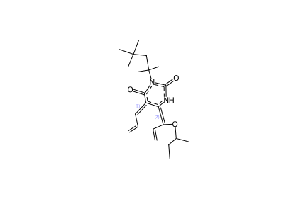 C=C/C=c1/c(=O)n(C(C)(C)CC(C)(C)C)c(=O)[nH]/c1=C(/C=C)OC(C)CC